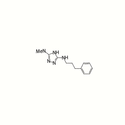 CNc1nnc(NCCCc2ccccc2)[nH]1